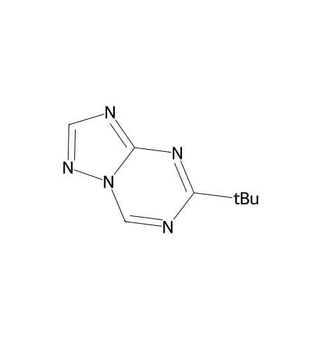 CC(C)(C)c1ncn2ncnc2n1